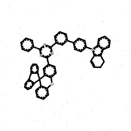 C1=Cc2c(c3ccccc3n2-c2ccc(-c3cccc(-c4nc(-c5ccccc5)nc(-c5ccc6c(c5)C5(c7ccccc7O6)c6ccccc6-c6ccccc65)n4)c3)cc2)CC1